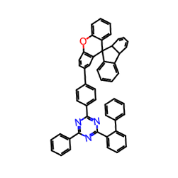 C1=CC2c3ccccc3C3(c4ccccc4Oc4ccc(-c5ccc(-c6nc(-c7ccccc7)nc(-c7ccccc7-c7ccccc7)n6)cc5)cc43)C2C=C1